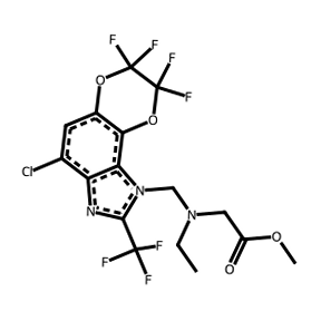 CCN(CC(=O)OC)Cn1c(C(F)(F)F)nc2c(Cl)cc3c(c21)OC(F)(F)C(F)(F)O3